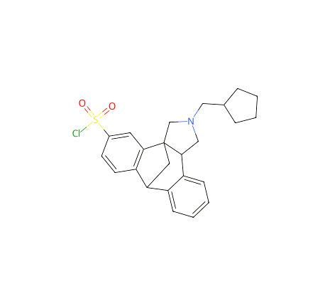 O=S(=O)(Cl)c1ccc2c(c1)C13CC2c2ccccc2C1CN(CC1CCCC1)C3